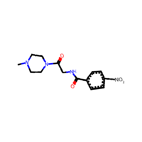 CN1CCN(C(=O)CNC(=O)c2ccc([N+](=O)[O-])cc2)CC1